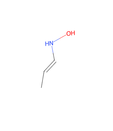 CC=CNO